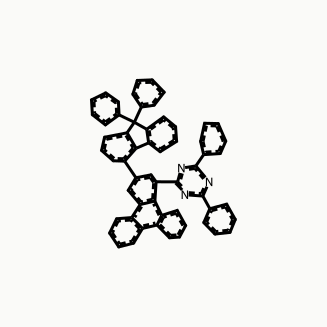 c1ccc(-c2nc(-c3ccccc3)nc(-c3cc(-c4cccc5c4-c4ccccc4C5(c4ccccc4)c4ccccc4)cc4c5ccccc5c5ccccc5c34)n2)cc1